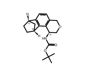 CC(C)(C)OC(=O)N[C@@H]1COCc2ccc3c(c21)[C@@H]1CC[C@H]3C1